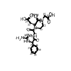 N=C(N)NC(C(=O)NCC(=O)N1CCN(CC(=O)O)C(=O)[C@@H]1CC(=O)O)c1ccccc1